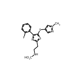 Cn1cc(Sc2sc(CCNC(=O)O)nc2-c2ccccc2F)cn1